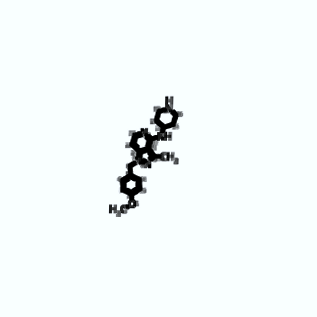 COc1ccc(Cn2nc(C)c3c(NC4CCNCC4)nccc32)cc1